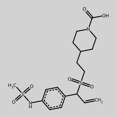 C=CC(c1ccc(NS(C)(=O)=O)cc1)S(=O)(=O)CCC1CCN(C(=O)O)CC1